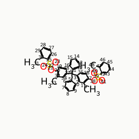 Cc1cc(C(c2ccccc2)(c2ccccc2)c2ccc(OS(=O)(=O)c3ccccc3C)c(C)c2)ccc1OS(=O)(=O)c1ccccc1C